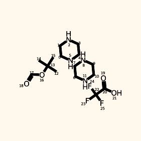 C1CNCCN1.C1CNCCN1.CC(C)(C)OC=O.O=C(O)C(F)(F)F